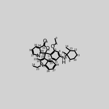 CCOc1cc(NC2(C)CCCCC2C)ccc1C1(c2c(C)n(CC)c3ccccc23)OC(=O)c2cccnc21